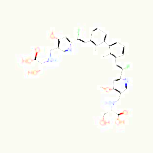 COc1cc(/C(F)=C/c2cccc(-c3cccc(/C=C(\F)c4cc(OC)c(CN[C@H](CO)C(=O)O)cn4)c3C)c2C)ncc1CN[C@H](CO)C(=O)O